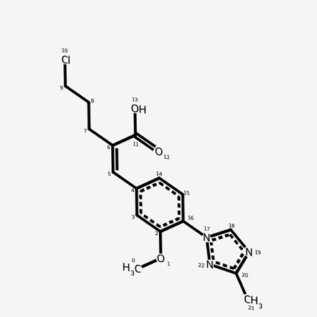 COc1cc(C=C(CCCCl)C(=O)O)ccc1-n1cnc(C)n1